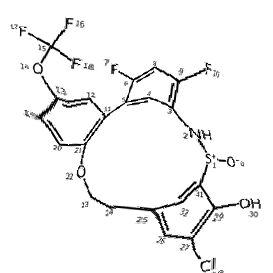 [O-][S+]1Nc2cc(c(F)cc2F)-c2cc(OC(F)(F)F)ccc2OCCc2cc(Cl)c(O)c1c2